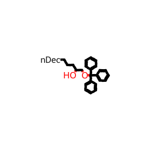 CCCCCCCCCCCCCC(O)COC(c1ccccc1)(c1ccccc1)c1ccccc1